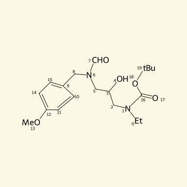 CCN(CC(O)CN(C=O)Cc1ccc(OC)cc1)C(=O)OC(C)(C)C